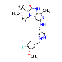 C=C(OC)[C@H]1C(=O)Nc2c(cc(NCc3cnn(Cc4ccc(F)c(OC)c4)c3)nc2C)N1C